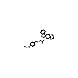 COc1ccc(COC[C@H](C)C[C@@H]2Cc3ccccc3C23CCC2(CC3)OCCO2)cc1